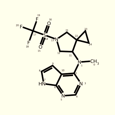 CN(c1ncnc2[nH]ccc12)C1CN(S(=O)(=O)C(F)(F)F)CC12CC2